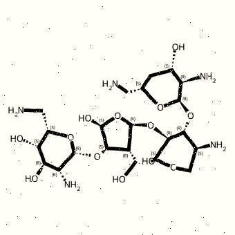 NC[C@@H]1C[C@H](O)[C@@H](N)[C@@H](O[C@H]2[C@H](O[C@@H]3O[C@H](O)[C@@H](O[C@H]4O[C@@H](CN)[C@@H](O)[C@H](O)[C@H]4N)[C@H]3CO)[C@@H](O)CC[C@@H]2N)O1